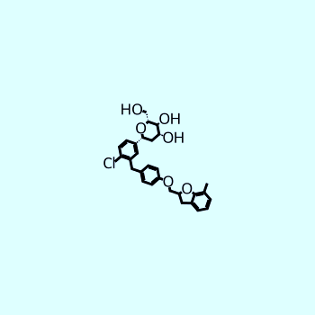 Cc1cccc2c1OC(COc1ccc(Cc3cc([C@H]4C[C@@H](O)[C@H](O)[C@@H](CO)O4)ccc3Cl)cc1)C2